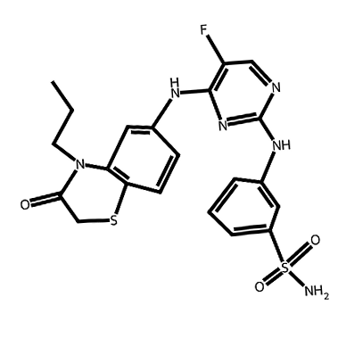 CCCN1C(=O)CSc2ccc(Nc3nc(Nc4cccc(S(N)(=O)=O)c4)ncc3F)cc21